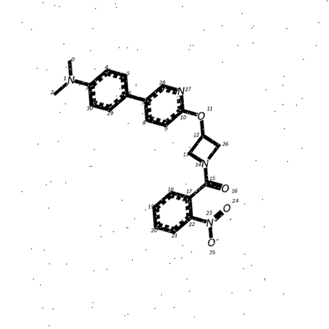 CN(C)c1ccc(-c2ccc(OC3CN(C(=O)c4ccccc4[N+](=O)[O-])C3)nc2)cc1